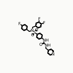 O=C(NCc1ccncc1)Nc1ccc(S(=O)(=O)N(Cc2ccc(F)cc2)Cc2ccc(F)c(F)c2)cc1